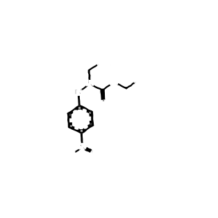 CCOC(=O)N(CC)Nc1ccc([N+](=O)[O-])cc1